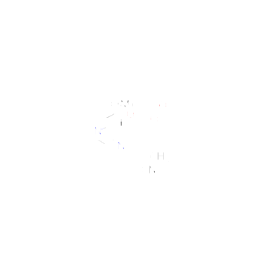 COc1cc2nccc(N3CCC(C(C)C#N)CC3)c2cc1OCCOC1CCCCO1